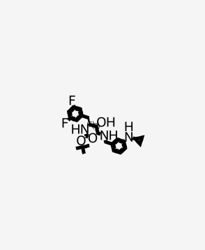 CC(C)(C)OC(=O)N[C@@H](Cc1cc(F)cc(F)c1)[C@H](O)CNCc1cccc(NC2CC2)c1